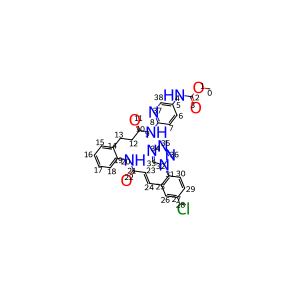 COC(=O)Nc1ccc(NC(=O)CCc2ccccc2NC(=O)C=Cc2cc(Cl)ccc2-n2cnnn2)nc1